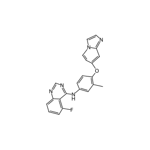 Cc1cc(Nc2ncnc3cccc(F)c23)ccc1Oc1ccn2ccnc2c1